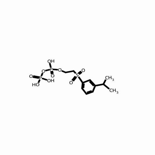 CC(C)c1cccc(S(=O)(=O)CCOP(=O)(O)OP(=O)(O)O)c1